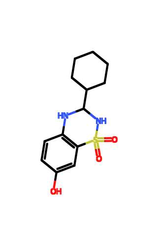 O=S1(=O)NC(C2CCCCC2)Nc2ccc(O)cc21